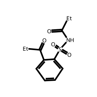 CCC(=O)NS(=O)(=O)c1ccccc1C(=O)CC